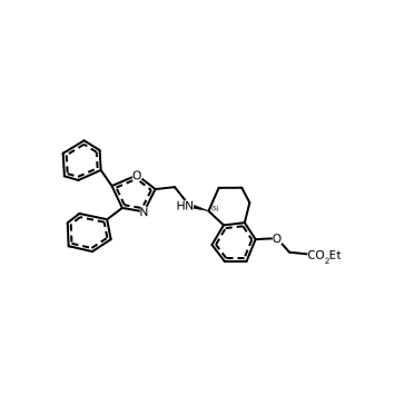 CCOC(=O)COc1cccc2c1CCC[C@@H]2NCc1nc(-c2ccccc2)c(-c2ccccc2)o1